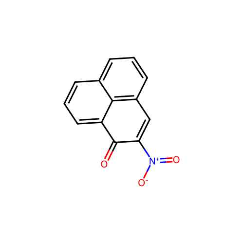 O=C1C([N+](=O)[O-])=Cc2cccc3cccc1c23